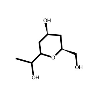 CC(O)C1C[C@@H](O)C[C@@H](CO)O1